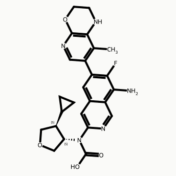 Cc1c(-c2cc3cc(N(C(=O)O)[C@@H]4COC[C@H]4C4CC4)ncc3c(N)c2F)cnc2c1NCCO2